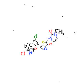 Cc1cc(Cl)cc(-c2ccnc3cc(Cn4c(=O)ccn(C)c4=O)sc23)c1O[C@@H]1C[C@@H]2COCCN2C1